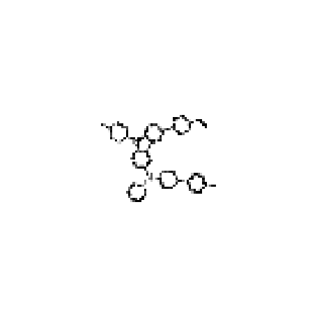 C=Cc1ccc(-c2ccc3c(c2)c2cc(N(C4=CCC(c5ccc(C)cc5)C=C4)c4ccccc4)ccc2n3C2C=CC(C)=CC2)cc1